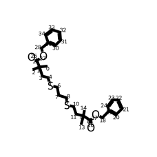 CC(C)(CCSCCCSCCC(C)(C)C(=O)OCc1ccccc1)C(=O)OCc1ccccc1